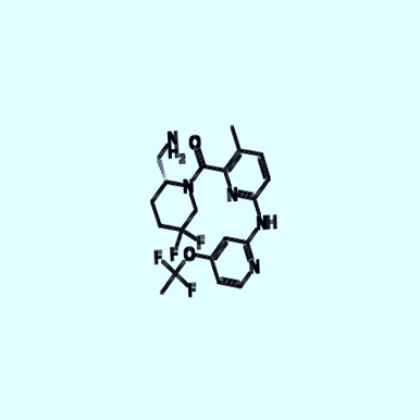 Cc1ccc(Nc2cc(OC(C)(F)F)ccn2)nc1C(=O)N1CC(F)(F)CC[C@@H]1CN